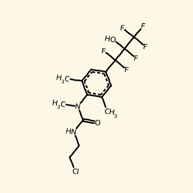 Cc1cc(C(F)(F)C(O)(F)C(F)(F)F)cc(C)c1N(C)C(=O)NCCCl